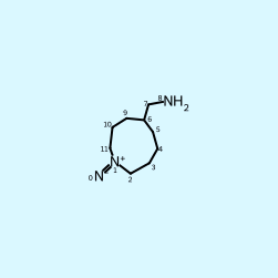 [N-]=[N+]1CCCCC(CN)CCC1